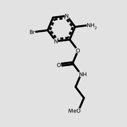 COCCNC(=O)Oc1nc(Br)cnc1N